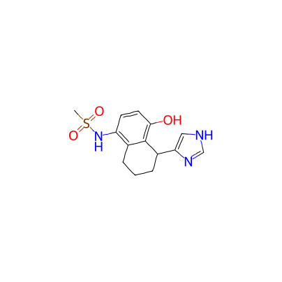 CS(=O)(=O)Nc1ccc(O)c2c1CCCC2c1c[nH]cn1